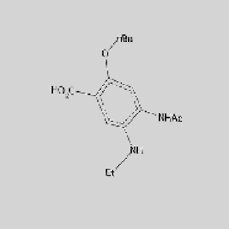 CCCCOc1cc(NC(C)=O)c(NCC)cc1C(=O)O